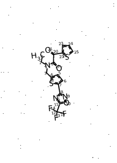 CCN(Cc1ccc(-c2noc(C(F)(F)F)n2)s1)C(=O)C(=O)c1cccs1